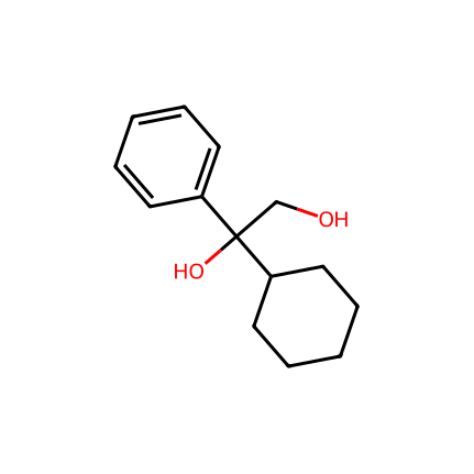 OCC(O)(c1ccccc1)C1CCCCC1